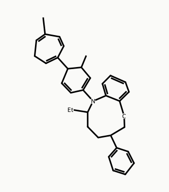 CCC1CCC(c2ccccc2)CCc2ccccc2N1C1=CC(C)C(C2=CCC=C(C)C=C2)C=C1